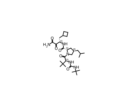 CC(C)C[C@@H]1C[C@@H](C(=O)N[C@@H](CC2CCC2)C(=O)C(N)=O)N(C(=O)[C@@H](NC(=O)NC(C)(C)C)C(C)(C)C)C1